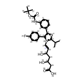 CC(C)c1nc(-c2cccc(NC(=O)OC(C)(C)C)c2)c(-c2ccc(F)cc2)n1/C=C/C(O)CC(O)CC(=O)O